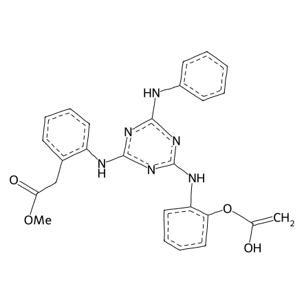 C=C(O)Oc1ccccc1Nc1nc(Nc2ccccc2)nc(Nc2ccccc2CC(=O)OC)n1